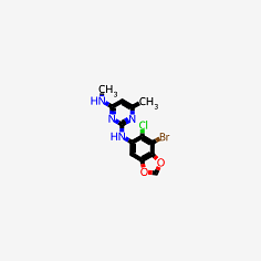 CNc1cc(C)nc(Nc2cc3c(c(Br)c2Cl)OCO3)n1